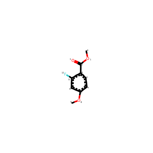 COC(=O)c1ccc(OC)cc1F